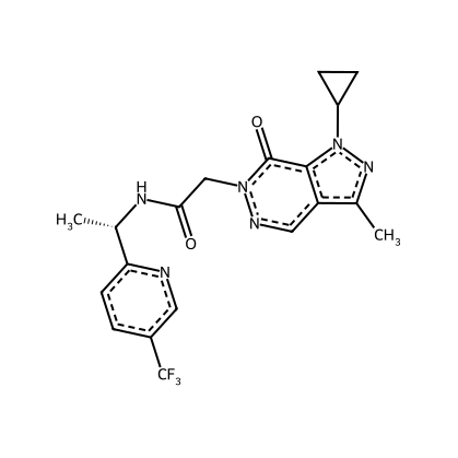 Cc1nn(C2CC2)c2c(=O)n(CC(=O)N[C@@H](C)c3ccc(C(F)(F)F)cn3)ncc12